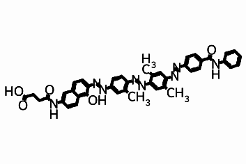 Cc1cc(N=Nc2ccc(N=Nc3ccc4cc(NC(=O)CCC(=O)O)ccc4c3O)cc2C)c(C)cc1N=Nc1ccc(C(=O)Nc2ccccc2)cc1